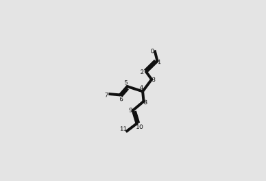 CC=CCC(C=CC)CC=CC